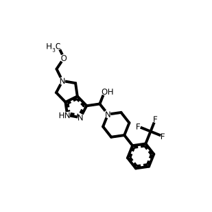 COCN1Cc2[nH]nc(C(O)N3CCC(c4ccccc4C(F)(F)F)CC3)c2C1